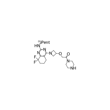 CCC[C@H](C)Nc1nc(N2CC(OCC(=O)N3CCNCC3)C2)c2c(n1)C(F)(F)CCC2